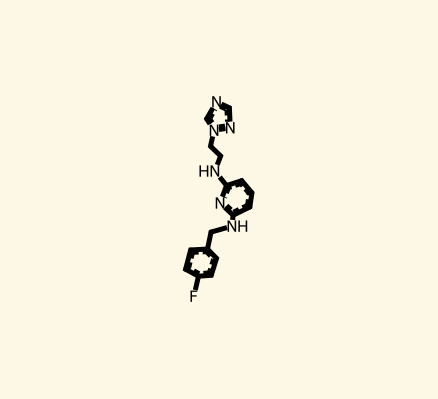 Fc1ccc(CNc2cccc(NCCn3cncn3)n2)cc1